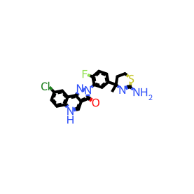 CC1(c2ccc(F)c(-n3nc4c5cc(Cl)ccc5[nH]cc-4c3=O)c2)CCSC(N)=N1